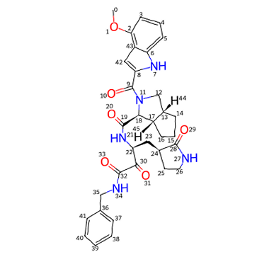 COc1cccc2[nH]c(C(=O)N3C[C@@H]4CCC[C@@H]4[C@H]3C(=O)N[C@@H](C[C@@H]3CCNC3=O)C(=O)C(=O)NCc3ccccc3)cc12